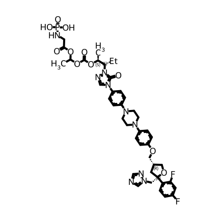 CC[C@@H]([C@H](C)OC(=O)OC(C)OC(=O)CNP(=O)(O)O)n1ncn(-c2ccc(N3CCN(c4ccc(OC[C@@H]5CO[C@@](Cn6cncn6)(c6ccc(F)cc6F)C5)cc4)CC3)cc2)c1=O